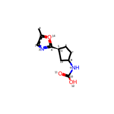 Cc1cnc([C@H]2CCC(NC(=O)O)C2)o1